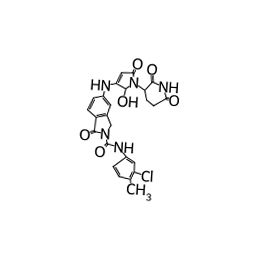 Cc1ccc(NC(=O)N2Cc3cc(NC4=CC(=O)N(C5CCC(=O)NC5=O)C4O)ccc3C2=O)cc1Cl